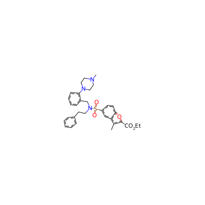 CCOC(=O)c1oc2ccc(S(=O)(=O)N(CCc3ccccc3)Cc3ccccc3N3CCN(C)CC3)cc2c1C